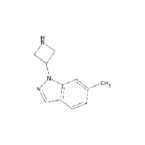 Cc1ccc2cnn(C3CNC3)c2c1